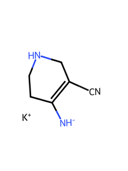 N#CC1=C([NH-])CCNC1.[K+]